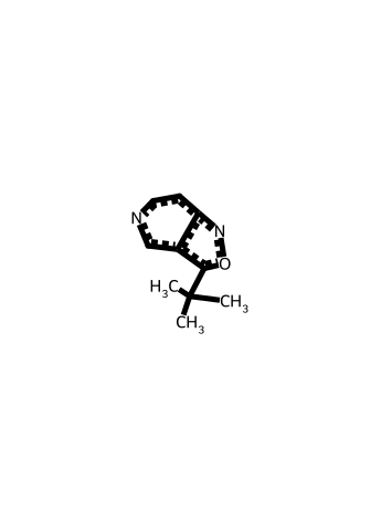 CC(C)(C)c1onc2ccncc12